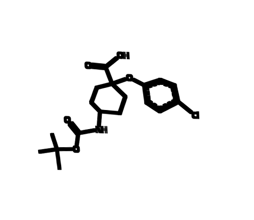 CC(C)(C)OC(=O)NC1CCC(Oc2ccc(Cl)cc2)(C(=O)O)CC1